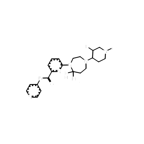 BC1(B)CCN(C2CCN(C(C)C)CC2F)CCN1c1cccc(C(=O)Nc2ccncc2)n1